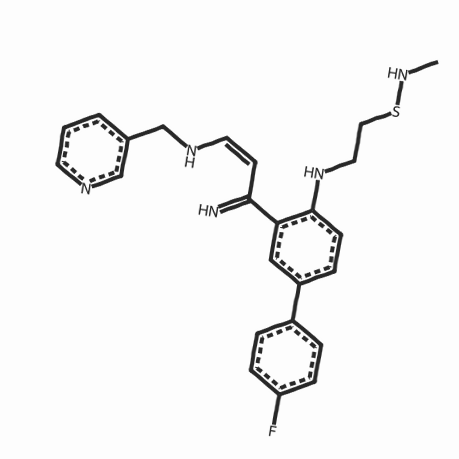 CNSCCNc1ccc(-c2ccc(F)cc2)cc1C(=N)/C=C\NCc1cccnc1